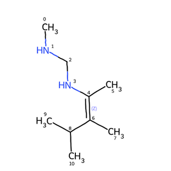 CNCN/C(C)=C(/C)C(C)C